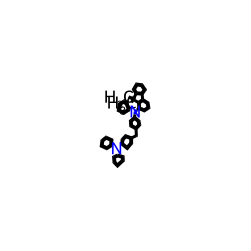 CC1(C)c2ccccc2-c2cccc(N(c3ccccc3)c3ccc(Cc4ccc(N(c5ccccc5)c5ccccc5)cc4)cc3)c21